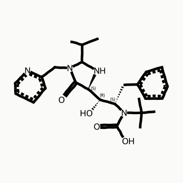 CC(C)C1N[C@@H]([C@@H](O)[C@H](Cc2ccccc2)N(C(=O)O)C(C)(C)C)C(=O)N1Cc1ccccn1